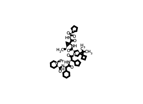 C=C[C@@H]1C[C@]1(NC(=O)[C@@H]1C[C@@]2(CN1C(=O)[C@@H](NC(=O)[C@@H](NC(=O)[C@@H]1CCCCN1C(C)C)C1CCCCC1)C1CCCC1)C(C)(C)C21CCC1)C(=O)NS(=O)(=O)N1CCCC1